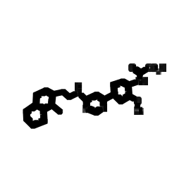 CCOc1cc(-c2cc(NCCc3ccc4ccccc4c3C)ncn2)ccc1NC(=O)C(=O)O